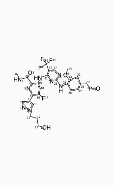 CNC(=O)c1nc(-c2cnn(CCCO)c2)c(F)cc1Nc1nc(Nc2ccc(CP=O)cc2OC)ncc1C(F)(F)F